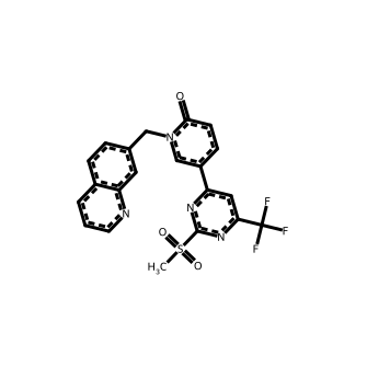 CS(=O)(=O)c1nc(-c2ccc(=O)n(Cc3ccc4cccnc4c3)c2)cc(C(F)(F)F)n1